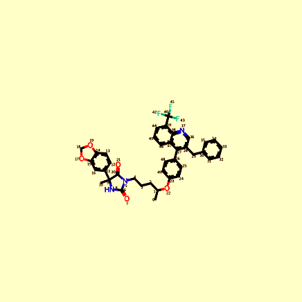 CC(CCCN1C(=O)NC(C)(c2ccc3c(c2)OCO3)C1=O)Oc1ccc(-c2c(Cc3ccccc3)cnc3c(C(F)(F)F)cccc23)cc1